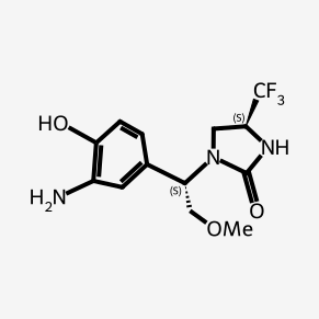 COC[C@H](c1ccc(O)c(N)c1)N1C[C@@H](C(F)(F)F)NC1=O